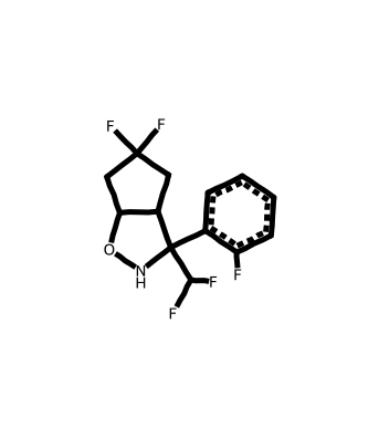 Fc1ccccc1C1(C(F)F)NOC2CC(F)(F)CC21